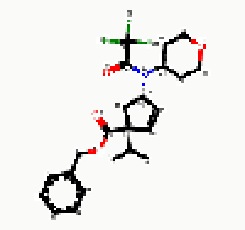 CC(C)[C@]1(C(=O)OCc2ccccc2)C=C[C@@H](N(C(=O)C(F)(F)F)C2CCOCC2)C1